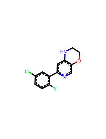 Fc1ccc(Cl)cc1-c1cc2c(cn1)OCCN2